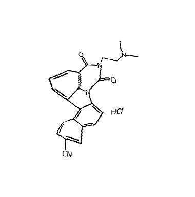 CN(C)CCn1c(=O)c2cccc3c4c5ccc(C#N)cc5ccc4n(c1=O)c23.Cl